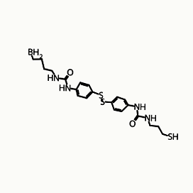 BCCCCNC(=O)Nc1ccc(SSc2ccc(NC(=O)NCCCS)cc2)cc1